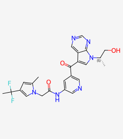 Cc1cc(C(C)(F)F)cn1CC(=O)Nc1cncc(C(=O)c2cn([C@@H](C)CO)c3ncncc23)c1